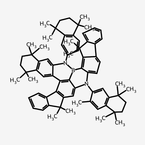 Cc1cc2c(cc1N1c3cc4c(c5c3B(c3c1ccc1c3C(C)(C)c3ccccc3-1)N(c1ccc3c(c1)C(C)(C)CCC3(C)C)c1cc3c(cc1-5)C(C)(C)CCC3(C)C)-c1ccccc1C4(C)C)C(C)(C)CCC2(C)C